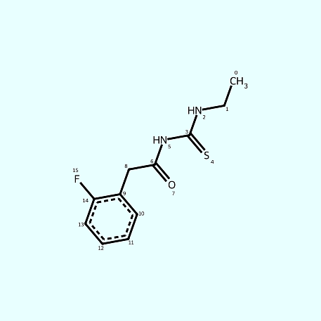 CCNC(=S)NC(=O)Cc1ccccc1F